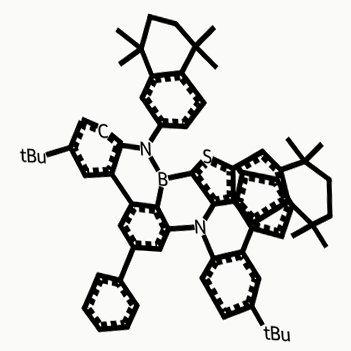 CC(C)(C)c1ccc2c(c1)-c1cc(-c3ccccc3)cc3c1B(c1sc4cc5c(cc4c1N3c1ccc(C(C)(C)C)cc1-c1ccccc1)C(C)(C)CCC5(C)C)N2c1ccc2c(c1)C(C)(C)CCC2(C)C